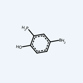 Bc1ccc(O)c(P)c1